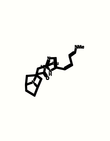 CN/C=C/C=C\c1cnc(CC2CC3CCC(C2)N3CC(=O)NC(C)(C)C)[nH]1